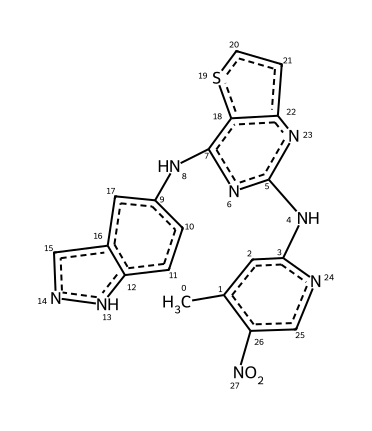 Cc1cc(Nc2nc(Nc3ccc4[nH]ncc4c3)c3sccc3n2)ncc1[N+](=O)[O-]